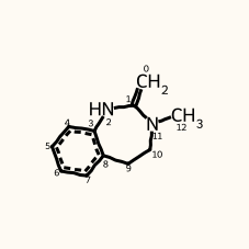 C=C1Nc2ccccc2CCN1C